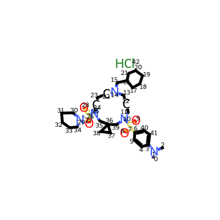 CN(C)c1ccc(S(=O)(=O)N2CCCN(CC3CCCCC3)CCCN(S(=O)(=O)N3CCCCC3)CC3(CC3)C2)cc1.Cl